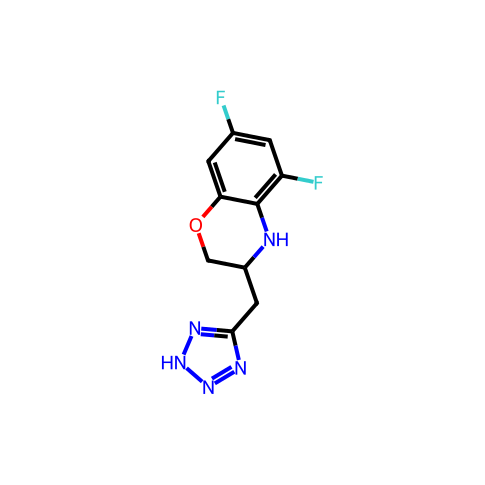 Fc1cc(F)c2c(c1)OCC(Cc1nn[nH]n1)N2